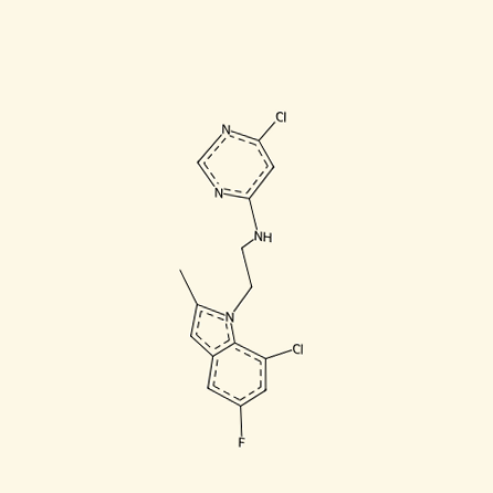 Cc1cc2cc(F)cc(Cl)c2n1CCNc1cc(Cl)ncn1